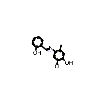 Cc1cc(O)c(Cl)cc1/N=C/c1ccccc1O